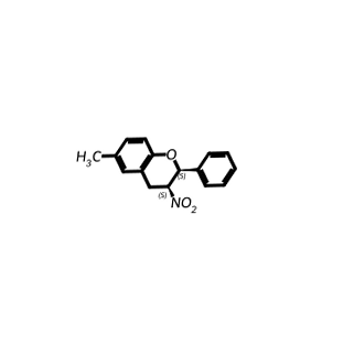 Cc1ccc2c(c1)C[C@H]([N+](=O)[O-])[C@H](c1ccccc1)O2